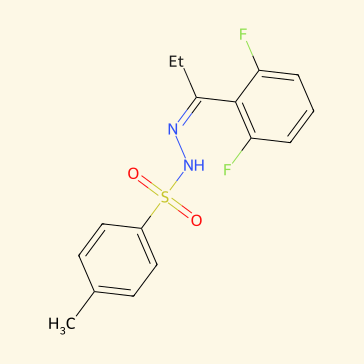 CCC(=NNS(=O)(=O)c1ccc(C)cc1)c1c(F)cccc1F